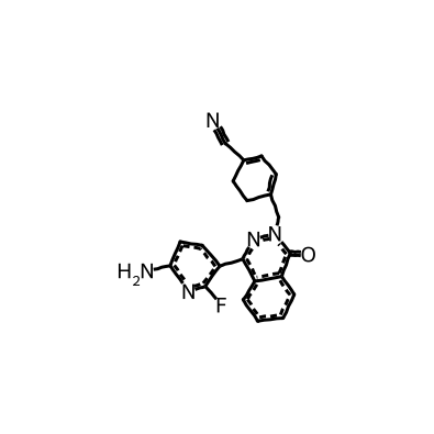 N#CC1=CC=C(Cn2nc(-c3ccc(N)nc3F)c3ccccc3c2=O)CC1